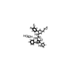 COCCN1C[C@@H](NC(=O)Nc2c(Cl)c([C@@H]3CCCN3)nn2-c2ccccc2)[C@H](c2ccc(F)c(F)c2)C1.Cl.Cl